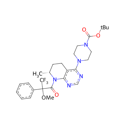 COC(C(=O)N1c2ncnc(N3CCN(C(=O)OC(C)(C)C)CC3)c2CC[C@H]1C)(c1ccccc1)C(F)(F)F